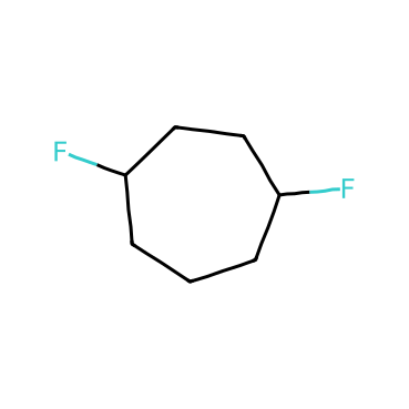 FC1CCCC(F)CC1